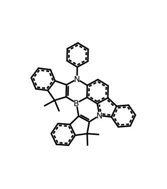 CC1(C)C2=C(c3ccccc31)N(c1ccccc1)c1ccc3c4ccccc4n4c3c1B2C1=C4C(C)(C)c2ccccc21